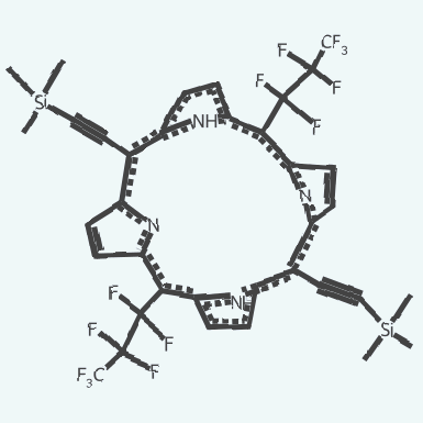 C[Si](C)(C)C#Cc1c2nc(c(C(F)(F)C(F)(F)C(F)(F)F)c3ccc([nH]3)c(C#C[Si](C)(C)C)c3nc(c(C(F)(F)C(F)(F)C(F)(F)F)c4ccc1[nH]4)C=C3)C=C2